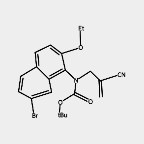 C=C(C#N)CN(C(=O)OC(C)(C)C)c1c(OCC)ccc2ccc(Br)cc12